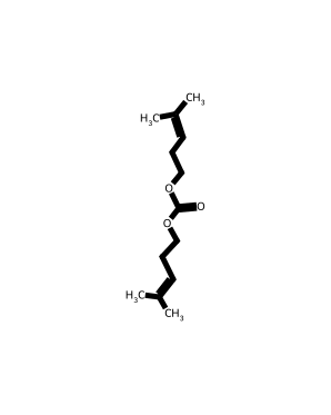 CC(C)=CCCOC(=O)OCCC=C(C)C